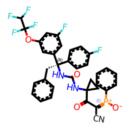 N#C/C(C(=O)C1(NC(=O)N[C@](Cc2ccccc2)(c2ccc(F)cc2)c2cc(F)cc(OC(F)(F)C(F)F)c2)CC1)=[P+](\[O-])c1ccccc1